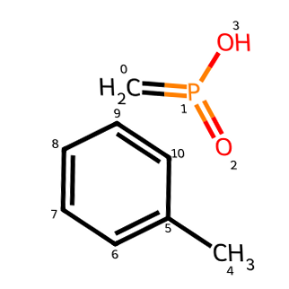 C=P(=O)O.Cc1ccccc1